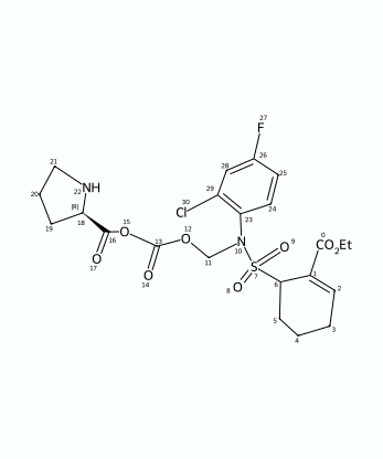 CCOC(=O)C1=CCCCC1S(=O)(=O)N(COC(=O)OC(=O)[C@H]1CCCN1)c1ccc(F)cc1Cl